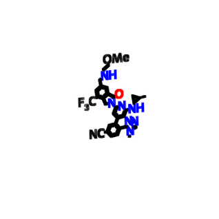 COCCNCc1cc2c(c(C(F)(F)F)c1)CN(c1cc(-c3cc(C#N)ccc3-c3nncn3C)cc(N[C@@H]3C[C@H]3C)n1)C2=O